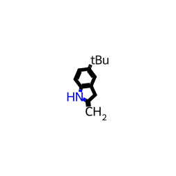 C=C1Cc2cc(C(C)(C)C)ccc2N1